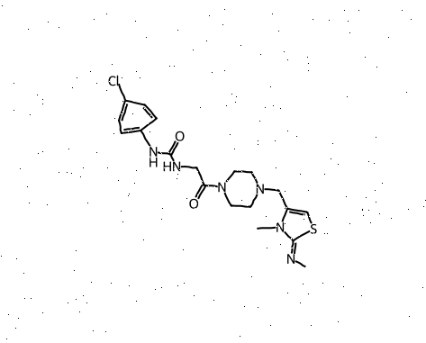 C/N=c1\scc(CN2CCN(C(=O)CNC(=O)Nc3ccc(Cl)cc3)CC2)n1C